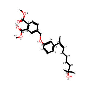 COC(=O)c1ccc(COc2cccc(/C(C)=C\CCCCC(C)(C)O)c2)cc1C(=O)OC